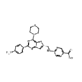 Nc1ccc(-c2nc(N3CCOCC3)c3sc(CNc4ncc(C(=O)N=O)cn4)cc3n2)cc1